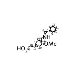 COCC1(CN[C@@H]2C[C@H]2c2ccccc2)CCN(CCC(=O)O)CC1